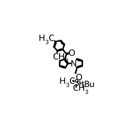 Cc1ccc(C(=O)C2=C(n3cccc3CO[Si](C)(C)C(C)(C)C)C=CC2)c(C)c1